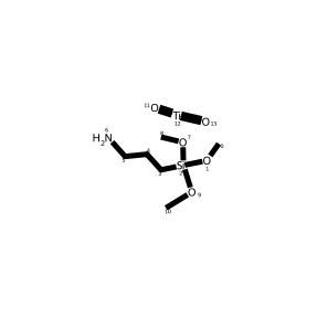 CO[Si](CCCN)(OC)OC.[O]=[Ti]=[O]